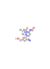 CC(=O)NC(/C=C\N(C)C1OC(CO)CC1C#N)=N/C=O